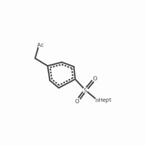 CCCCCCCS(=O)(=O)c1ccc(CC(C)=O)cc1